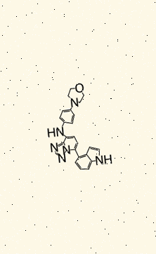 c1cc(-c2ccc(Nc3ccc(N4CCOCC4)cc3)c3ncnn23)c2cc[nH]c2c1